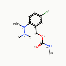 CN(C)N(C=O)c1ccc(Cl)cc1COC(=O)NC(C)(C)C